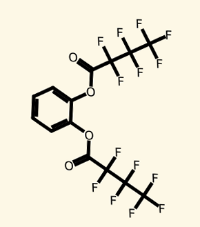 O=C(Oc1ccccc1OC(=O)C(F)(F)C(F)(F)C(F)(F)F)C(F)(F)C(F)(F)C(F)(F)F